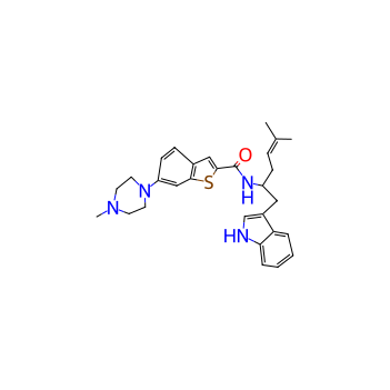 CC(C)=CCC(Cc1c[nH]c2ccccc12)NC(=O)c1cc2ccc(N3CCN(C)CC3)cc2s1